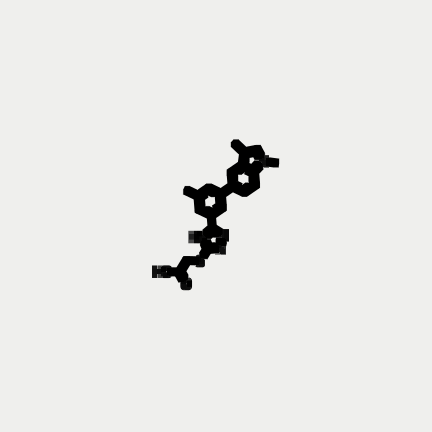 Cc1cc(-c2ccc3c(c2)c(C)cn3C)cc(-c2nnc(SCC(=O)O)[nH]2)c1